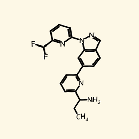 CCC(N)c1cccc(-c2ccc3cnn(-c4cccc(C(F)F)n4)c3c2)n1